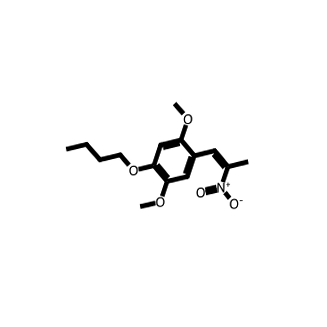 CCCCOc1cc(OC)c(C=C(C)[N+](=O)[O-])cc1OC